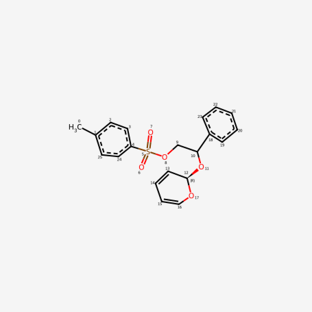 Cc1ccc(S(=O)(=O)OCC(O[C@@H]2C=CC=CO2)c2ccccc2)cc1